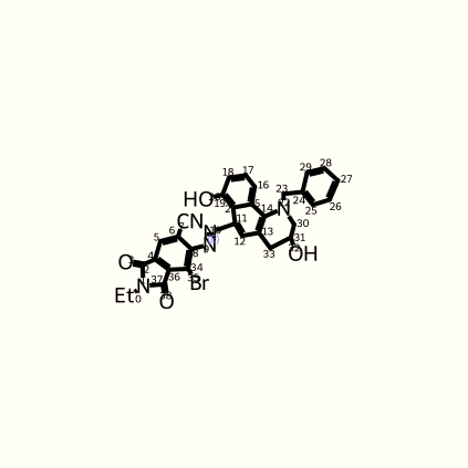 CCN1C(=O)c2cc(C#N)c(/N=N/c3cc4c(c5cccc(O)c35)N(Cc3ccccc3)CC(O)C4)c(Br)c2C1=O